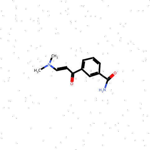 CN(C)C=CC(=O)c1cccc(C(N)=O)c1